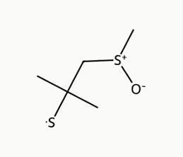 C[S+]([O-])CC(C)(C)[S]